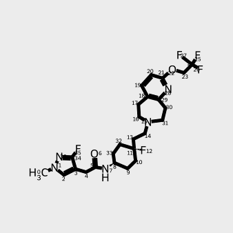 Cn1cc(CC(=O)N[C@H]2CC[C@](F)(CCN3CCc4ccc(OCC(F)(F)F)nc4CC3)CC2)c(F)n1